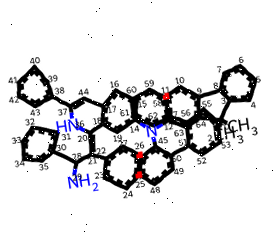 CC1(C)c2ccccc2-c2ccc(N(c3ccc4c(c3)/C(=C(\c3ccccc3)C(N)c3ccccc3)NC(c3ccccc3)=C4)c3ccccc3-c3ccccc3-c3ccccc3)cc21